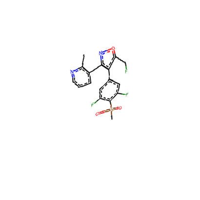 Cc1ncccc1-c1noc(CF)c1-c1cc(F)c(S(C)(=O)=O)c(F)c1